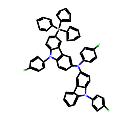 Fc1ccc(N(c2ccc3c(c2)c2ccccc2n3-c2ccc(F)cc2)c2ccc3c(c2)c2cc([Si](c4ccccc4)(c4ccccc4)c4ccccc4)ccc2n3-c2ccc(F)cc2)cc1